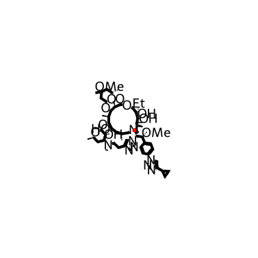 CC[C@H]1OC(=O)[C@H](C)[C@@H](O[C@H]2C[C@@](C)(OC)C[C@H](C)O2)[C@H](C)[C@@H](O[C@@H]2O[C@H](C)C[C@H](N(C)CCc3cn([C@H](CF)[C@H](OC)c4ccc(-n5cc(C6CC6)nn5)cc4)nn3)[C@H]2O)[C@](C)(O)C[C@@H](C)CN(C)[C@H](C)[C@@H](O)[C@]1(C)O